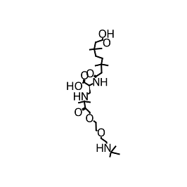 CC(C)(CCC(C)(C)CC(=O)N[C@@H](CNC(C)(C)C(=O)COCCOCCNC(C)(C)C)C(=O)O)CC(=O)O